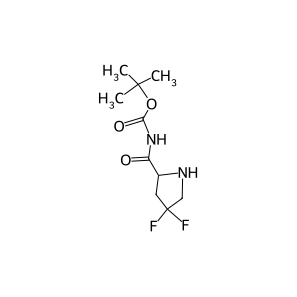 CC(C)(C)OC(=O)NC(=O)C1CC(F)(F)CN1